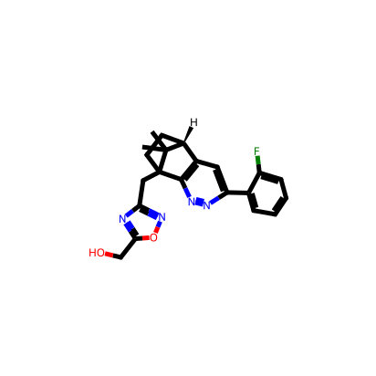 CC1(C)[C@@H]2CCC1(Cc1noc(CO)n1)c1nnc(-c3ccccc3F)cc12